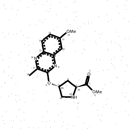 COC(=O)[C@@H]1C[C@@H](Oc2nc3cc(OC)ccc3nc2C)CN1